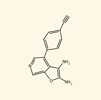 C#Cc1ccc(-c2cncc3oc(N)c(N)c23)cc1